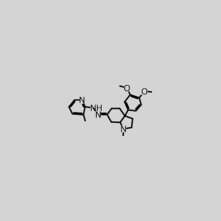 COc1ccc(C23CCC(=NNc4ncccc4C)CC2N(C)CC3)cc1OC